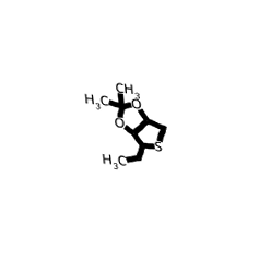 CCC1SCC2OC(C)(C)OC21